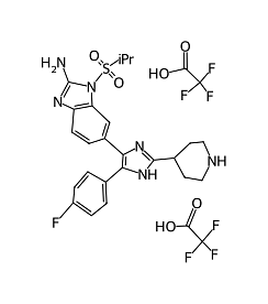 CC(C)S(=O)(=O)n1c(N)nc2ccc(-c3nc(C4CCNCC4)[nH]c3-c3ccc(F)cc3)cc21.O=C(O)C(F)(F)F.O=C(O)C(F)(F)F